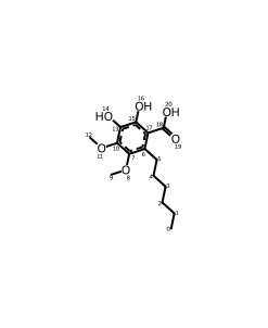 CCCCCCc1c(OC)c(OC)c(O)c(O)c1C(=O)O